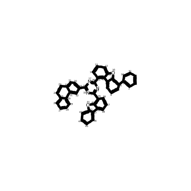 c1ccc(-c2cccc3c2oc2cccc(-c4nc(-c5ccc6ccc7ccccc7c6c5)nc(-c5cccc6c5oc5ccccc56)n4)c23)cc1